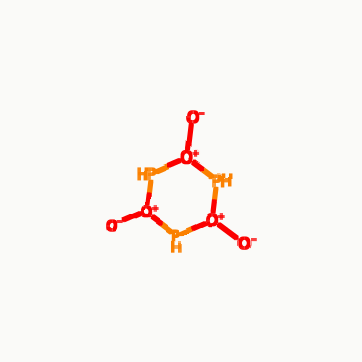 [O-][O+]1P[O+]([O-])P[O+]([O-])P1